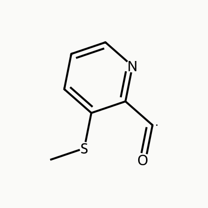 CSc1cccnc1[C]=O